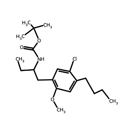 CCCCc1cc(OC)c(CC(CC)NC(=O)OC(C)(C)C)cc1Cl